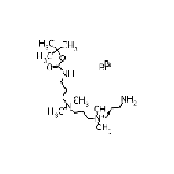 CC(C)(C)OC(=O)NCCC[N+](C)(C)CCC[N+](C)(C)CCCN.[Br-].[Br-]